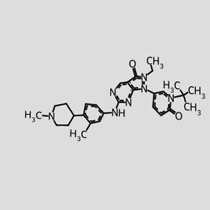 CCn1c(=O)c2cnc(Nc3ccc(C4CCN(C)CC4)c(C)c3)nc2n1-c1ccc(=O)n(C(C)(C)C)c1